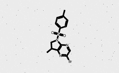 Cc1ccc(S(=O)(=O)N2CC(C)c3nc(Br)cnc32)cc1